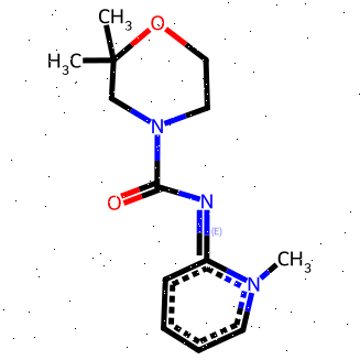 Cn1cccc/c1=N\C(=O)N1CCOC(C)(C)C1